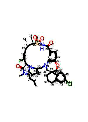 CCCCN(C)C(=O)[C@H]1/C(F)=C/C[C@H](C)[C@@H](C)S(=O)(=O)NC(=O)c2ccc3c(c2)N(C[C@@H]2CCCN21)C[C@@]1(CCCc2cc(Cl)ccc21)CO3